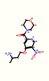 CC(N)CCOc1cc(C(=O)N2CCOCC2)ncc1[N+](=O)[O-]